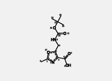 Cc1nc(C(=O)O)c(CNC(=O)OC(C)(C)C)o1